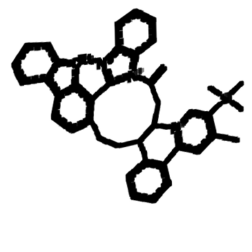 C=C1CC2C(CCc3ccc4c(oc5ccccc54)c3-c3n(CC)c4ccccc4[n+]31)c1ccccc1-c1cc(C)c([Si](C)(C)C)c[n+]12